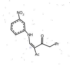 CC(=O)/C(=C/Nc1cccc([N+](=O)[O-])c1)C(=O)CC(C)C